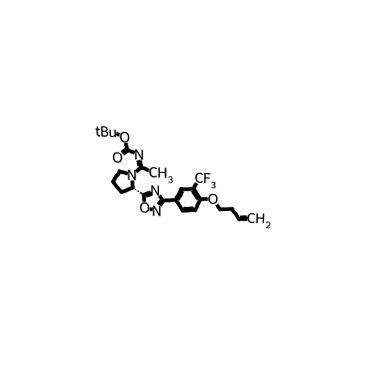 C=CCCOc1ccc(-c2noc([C@@H]3CCCN3/C(C)=N\C(=O)OC(C)(C)C)n2)cc1C(F)(F)F